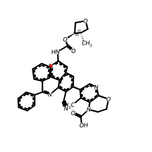 Cc1c(-c2cc3cc(NC(=O)O[C@H]4COC[C@@H]4C)ncc3c(N=C(c3ccccc3)c3ccccc3)c2C#N)cnc2c1N(C(=O)O)CCO2